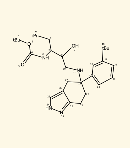 CC(C)CC(NC(=O)OC(C)(C)C)C(O)CNC1(c2cccc(C(C)(C)C)c2)CCc2n[nH]cc2C1